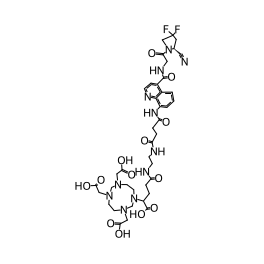 N#C[C@@H]1CC(F)(F)CN1C(=O)CNC(=O)c1ccnc2c(NC(=O)CCC(=O)NCCNC(=O)CCC(C(=O)O)N3CCN(CC(=O)O)CN(CC(=O)O)CCN(CC(=O)O)C3)cccc12